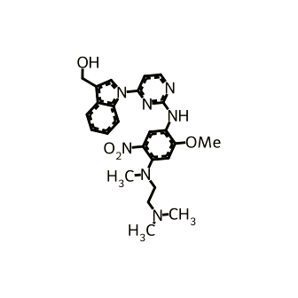 COc1cc(N(C)CCN(C)C)c([N+](=O)[O-])cc1Nc1nccc(-n2cc(CO)c3ccccc32)n1